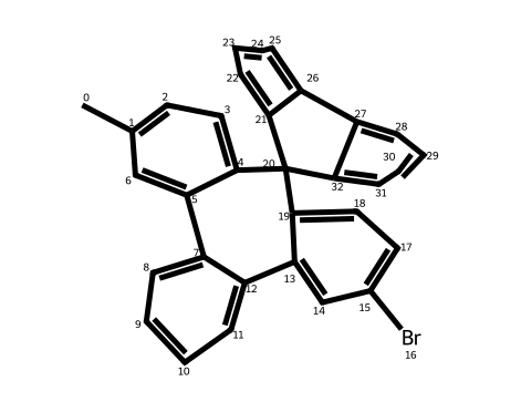 Cc1ccc2c(c1)-c1ccccc1-c1cc(Br)ccc1C21c2ccccc2-c2ccccc21